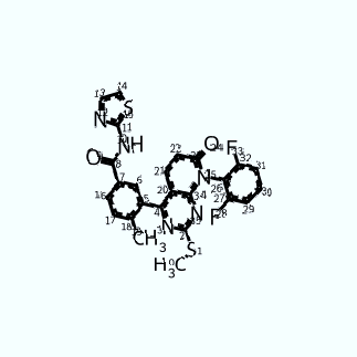 CSc1nc(-c2cc(C(=O)Nc3nccs3)ccc2C)c2ccc(=O)n(-c3c(F)cccc3F)c2n1